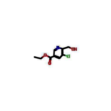 CCOC(=O)c1cnc(CO)c(Cl)c1